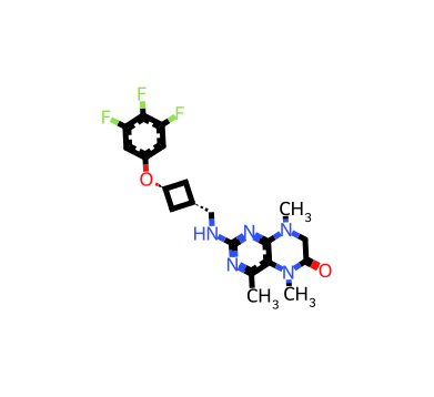 Cc1nc(NC[C@H]2C[C@@H](Oc3cc(F)c(F)c(F)c3)C2)nc2c1N(C)C(=O)CN2C